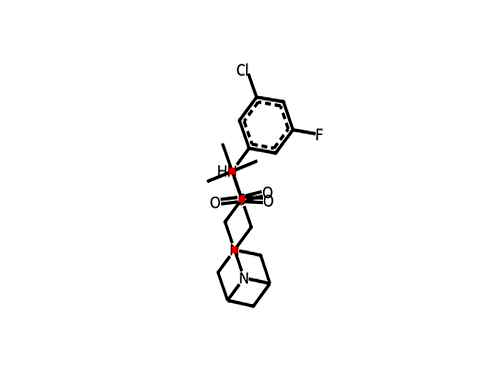 CC(C)(C)S(=O)(=O)CCN1C2CC1CN(CC(=O)Nc1cc(F)cc(Cl)c1)C2